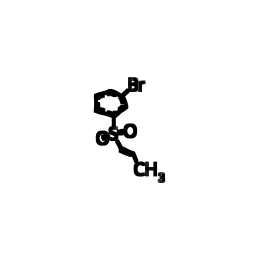 CC=CS(=O)(=O)c1cccc(Br)c1